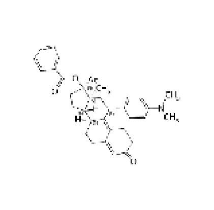 CC(=O)[C@@]1(OC(=O)c2ccccc2)CC[C@H]2[C@@H]3CCC4=CC(=O)CCC4=C3[C@@H](c3ccc(N(C)C)cc3)C[C@@]21C